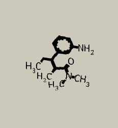 CCC(c1cccc(N)c1)C(C)C(=O)N(C)C